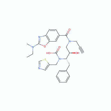 C#CCN(C[C@@H](O)[C@H](Cc1ccccc1)N(Cc1cncs1)C(=O)O)C(=O)c1ccc2nc(N(C)CC)oc2c1